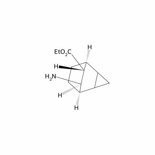 CCOC(=O)[C@H]1[C@H](N)[C@@H]2CC[C@H]1C1CC12